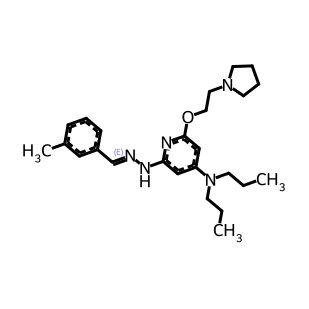 CCCN(CCC)c1cc(N/N=C/c2cccc(C)c2)nc(OCCN2CCCC2)c1